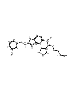 CC(C)OCCCN(C(=O)c1ccc2oc(NCc3cccc(Cl)c3)nc2c1)C1CCCC1